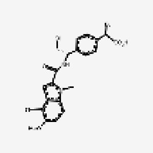 CCC(C(=O)O)c1ccc([C@@H](CO)NC(=O)c2cc3c(Cl)c(OC)ccc3n2C)cc1